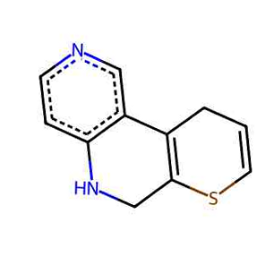 C1=CSC2=C(C1)c1cnccc1NC2